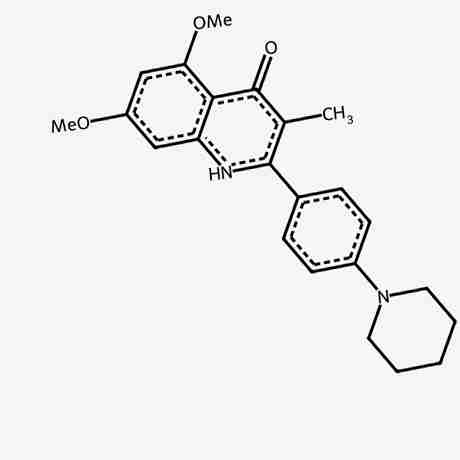 COc1cc(OC)c2c(=O)c(C)c(-c3ccc(N4CCCCC4)cc3)[nH]c2c1